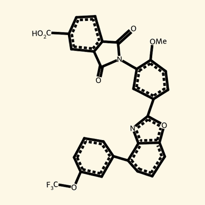 COc1ccc(-c2nc3c(-c4cccc(OC(F)(F)F)c4)cccc3o2)cc1N1C(=O)c2ccc(C(=O)O)cc2C1=O